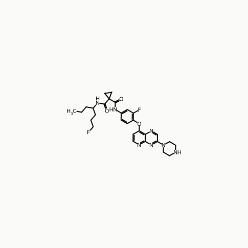 CCCC(CCCF)NC(=O)C1(C(=O)Nc2ccc(Oc3ccnc4nc(N5CCNCC5)cnc34)c(F)c2)CC1